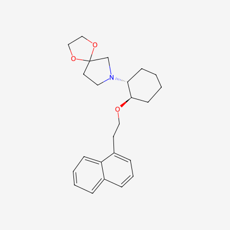 c1ccc2c(CCO[C@@H]3CCCC[C@H]3N3CCC4(C3)OCCO4)cccc2c1